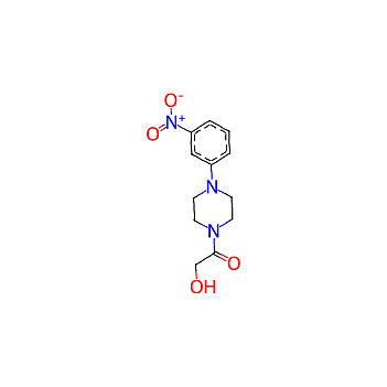 O=C(CO)N1CCN(c2cccc([N+](=O)[O-])c2)CC1